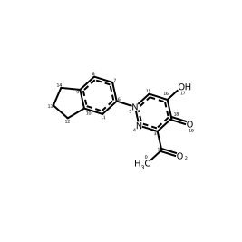 CC(=O)c1nn(-c2ccc3c(c2)CCC3)cc(O)c1=O